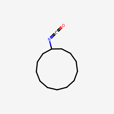 O=C=NC1CCCCCCCCCCCC1